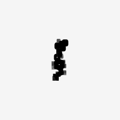 CS(=O)(=O)ON=COc1ccc(CC#N)cc1